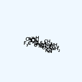 CC(NC(=O)c1ncnc(N)c1CN)c1ncc(C(=O)Nc2ccc(Cl)c(C(F)(F)F)c2)s1